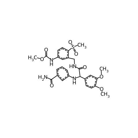 COC(=O)Nc1ccc(S(C)(=O)=O)c(CNC(=O)C(Nc2cccc(C(N)=O)c2)c2ccc(OC)c(OC)c2)c1